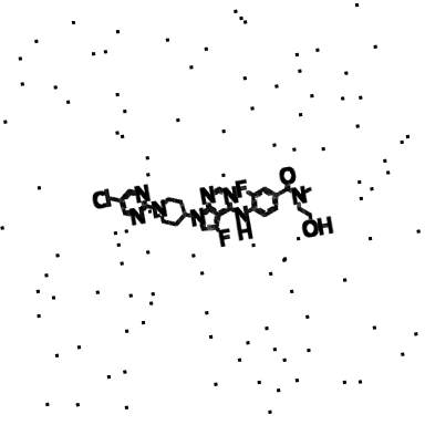 CN(CCO)C(=O)c1ccc(Nc2ncnc3c2c(F)cn3C2CCN(c3ncc(Cl)cn3)CC2)c(F)c1